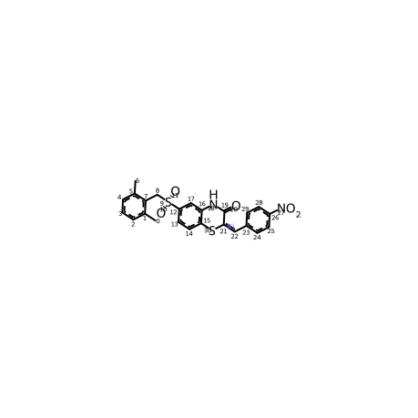 Cc1cccc(C)c1CS(=O)(=O)c1ccc2c(c1)NC(=O)/C(=C\c1ccc([N+](=O)[O-])cc1)S2